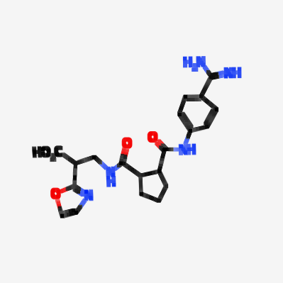 N=C(N)c1ccc(NC(=O)C2CCCC2C(=O)NCC(C(=O)O)c2ncco2)cc1